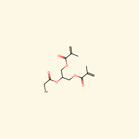 C=C(C)C(=O)OCC(COC(=O)C(=C)C)OC(=O)CC(C)=O